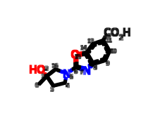 CC1(O)CCN(c2nc3ccc(C(=O)O)cc3o2)C1